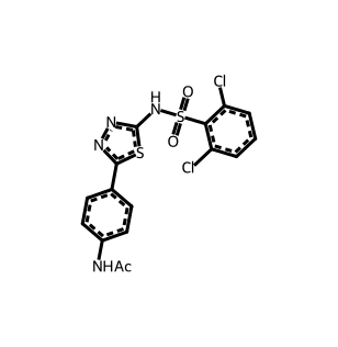 CC(=O)Nc1ccc(-c2nnc(NS(=O)(=O)c3c(Cl)cccc3Cl)s2)cc1